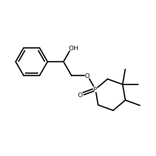 CC1CCP(=O)(OCC(O)c2ccccc2)CC1(C)C